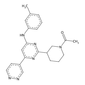 CC(=O)N1CCCC(c2nc(Nc3cccc(C)c3)cc(-c3ccnnc3)n2)C1